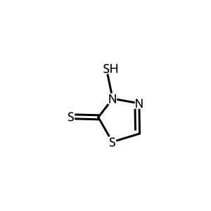 S=c1scnn1S